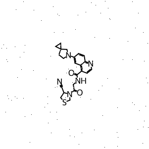 N#CC1CSCN1C(=O)CNC(=O)c1ccnc2ccc(N3CCC4(CC4)C3)cc12